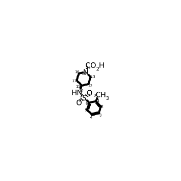 Cc1ccccc1S(=O)(=O)NC1CCN(C(=O)O)CC1